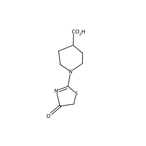 O=C1CSC(N2CCC(C(=O)O)CC2)=N1